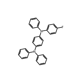 Fc1ccc(N(c2ccccc2)c2ccc(N(c3ccccc3)c3ccccc3)cc2)cc1